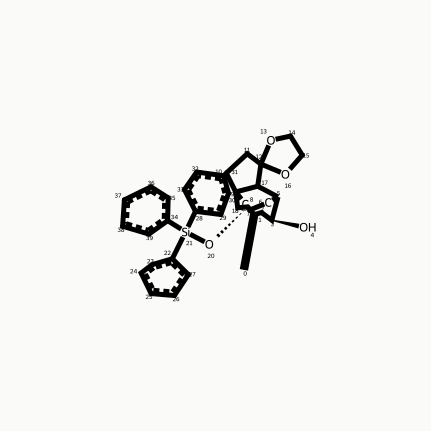 C=C1C[C@H](O)C2CCCC3(CCC4(OCCO4)C23)C[C@@H]1O[Si](c1ccccc1)(c1ccccc1)c1ccccc1